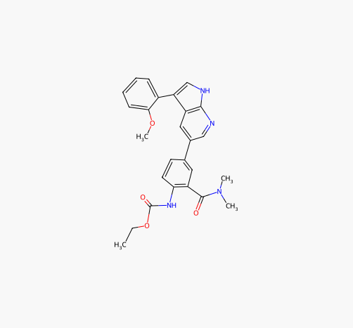 CCOC(=O)Nc1ccc(-c2cnc3[nH]cc(-c4ccccc4OC)c3c2)cc1C(=O)N(C)C